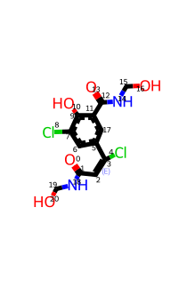 O=C(/C=C(/Cl)c1cc(Cl)c(O)c(C(=O)NCO)c1)NCO